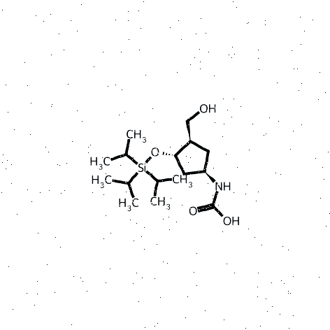 CC(C)[Si](O[C@H]1C[C@H](NC(=O)O)C[C@@H]1CO)(C(C)C)C(C)C